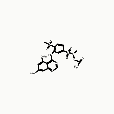 COc1cc(OC)c2c(Nc3cc(S(=O)(=O)N(C)OC(=O)C(F)(F)F)ccc3S(C)(=O)=O)ncnc2c1